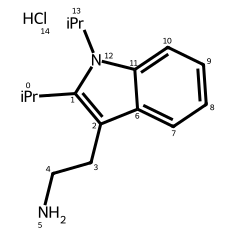 CC(C)c1c(CCN)c2ccccc2n1C(C)C.Cl